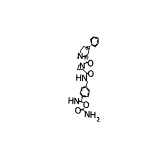 CN1CC[C@H](c2ccccc2)C[C@@H]1C(=O)N1CCC1C(=O)NCc1ccc(C(=N)OC(N)=O)cc1